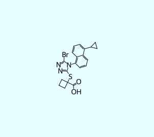 O=C(O)C1(Sc2nnc(Br)n2-c2cccc3c(C4CC4)cccc23)CCC1